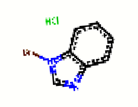 Brn1cnc2ccccc21.Cl